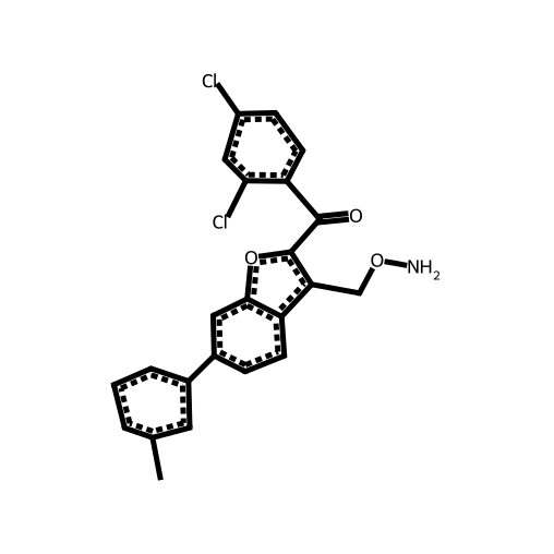 Cc1cccc(-c2ccc3c(CON)c(C(=O)c4ccc(Cl)cc4Cl)oc3c2)c1